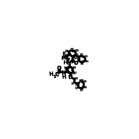 CC(=O)Nc1cc(NC(=O)c2c(-c3ccccc3)cccc2C(F)(F)F)ccc1OCCc1ccccn1